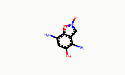 Nc1c(O)cc(N)c2o[n+]([O-])cc12